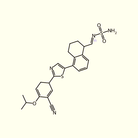 CC(C)OC1=CCC(c2ncc(-c3cccc4c3CCCC4/C=N/S(N)(=O)=O)s2)C=C1C#N